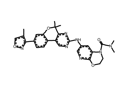 Cc1conc1-c1ccc2c(c1)OC(C)(C)c1nc(Nc3cnc4c(c3)N(C(=O)N(C)C)CCO4)ncc1-2